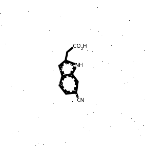 N#Cc1ccc2cc(CC(=O)O)[nH]c2c1